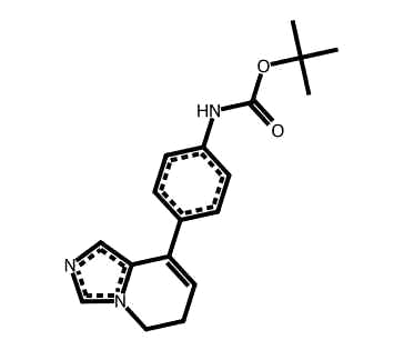 CC(C)(C)OC(=O)Nc1ccc(C2=CCCn3cncc32)cc1